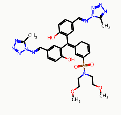 COCCN(CCOC)S(=O)(=O)C1=CC(=C(c2cc(C=Nn3nnnc3C)ccc2O)c2cc(C=Nn3nnnc3C)ccc2O)CC=C1